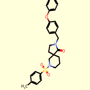 Cc1ccc(S(=O)(=O)N2CCCC3(CCN(Cc4ccc(Oc5ccccc5)cc4)C3=O)C2)cc1